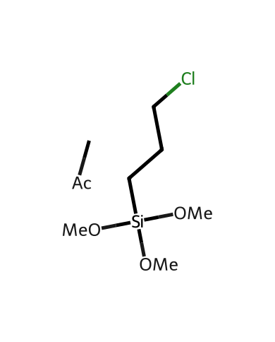 CC(C)=O.CO[Si](CCCCl)(OC)OC